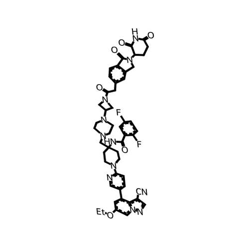 CCOc1cc(-c2ccc(N3CCC(CN4CCN(C5CN(C(=O)Cc6ccc7c(c6)CN(C6CCC(=O)NC6=O)C7=O)C5)CC4)(NC(=O)c4cc(F)ccc4F)CC3)nc2)c2c(C#N)cnn2c1